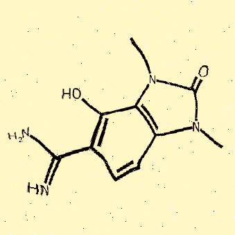 Cn1c(=O)n(C)c2c(O)c(C(=N)N)ccc21